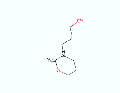 OCCC[SiH]1CCCO[SiH2]1